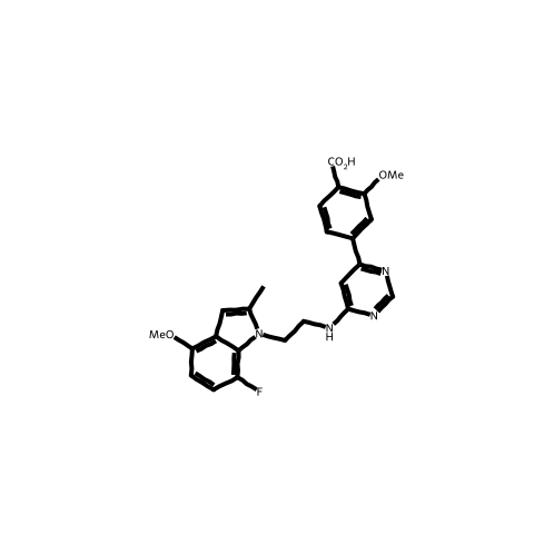 COc1cc(-c2cc(NCCn3c(C)cc4c(OC)ccc(F)c43)ncn2)ccc1C(=O)O